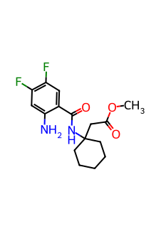 COC(=O)CC1(NC(=O)c2cc(F)c(F)cc2N)CCCCC1